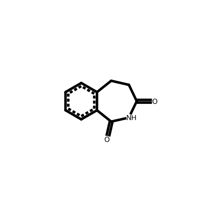 O=C1CCc2ccccc2C(=O)N1